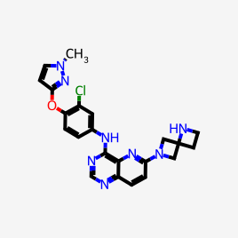 Cn1ccc(Oc2ccc(Nc3ncnc4ccc(N5CC6(CCN6)C5)nc34)cc2Cl)n1